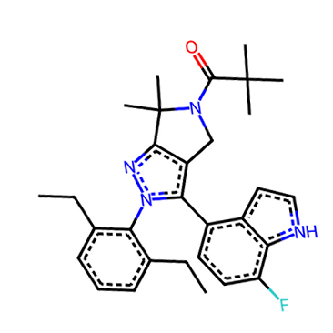 CCc1cccc(CC)c1-n1nc2c(c1-c1ccc(F)c3[nH]ccc13)CN(C(=O)C(C)(C)C)C2(C)C